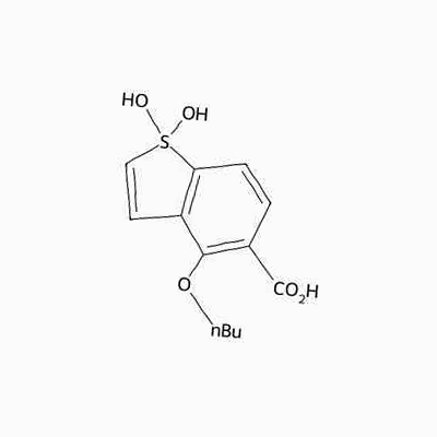 CCCCOc1c(C(=O)O)ccc2c1C=CS2(O)O